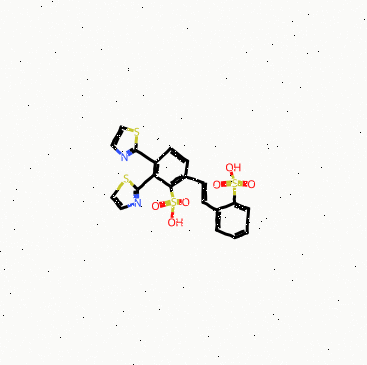 O=S(=O)(O)c1ccccc1C=Cc1ccc(-c2nccs2)c(-c2nccs2)c1S(=O)(=O)O